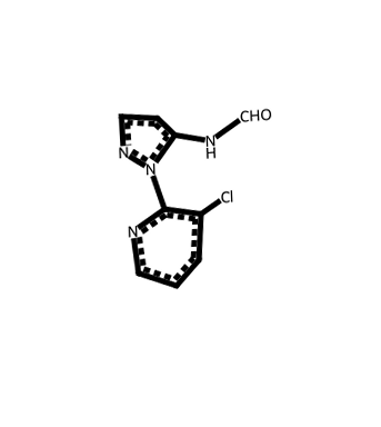 O=CNc1ccnn1-c1ncccc1Cl